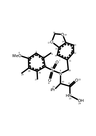 COc1cc(C)c(S(=O)(=O)N(Cc2ccc3c(c2)OCO3)C(C(=O)NO)C(C)C)c(C)c1C